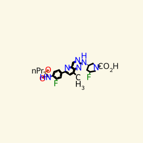 CCCS(=O)(=O)Nc1ccc(-c2cc(C)c3nc(N[C@H]4C[C@H](F)CN(C(=O)O)C4)ncc3n2)cc1F